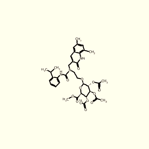 COC(=O)[C@H]1O[C@@H](OCCN(Cc2cc3cc(C)cc(C)c3[nH]c2=O)C(=O)Nc2ccccc2C(C)C)[C@H](OC(C)=O)[C@@H](OC(C)=O)[C@@H]1OC(C)=O